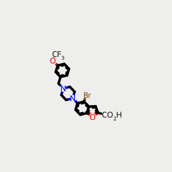 O=C(O)c1cc2c(Br)c(N3CCN(Cc4cccc(OC(F)(F)F)c4)CC3)ccc2o1